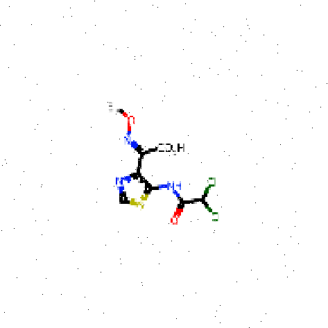 CCON=C(C(=O)O)c1ncsc1NC(=O)C(Cl)Cl